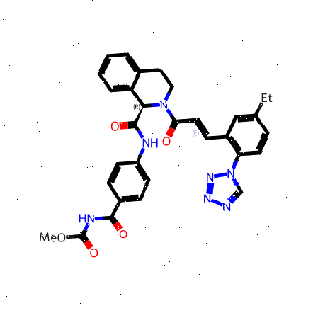 CCc1ccc(-n2cnnn2)c(/C=C/C(=O)N2CCc3ccccc3[C@@H]2C(=O)Nc2ccc(C(=O)NC(=O)OC)cc2)c1